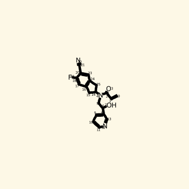 C=CC(=O)N(CC(O)c1cccnc1)C1Cc2cc(F)c(C#N)cc2C1